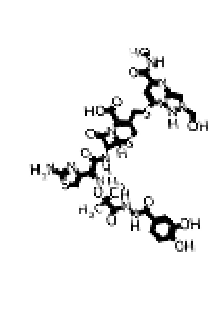 CC(C)(ON=C(C(=O)N[C@@H]1C(=O)N2C(C(=O)O)=C(CSC3=CC(C(=O)NO)=NC4=CN(CO)NN43)CS[C@H]12)c1csc(N)n1)C(=O)NNC(=O)c1ccc(O)c(O)c1